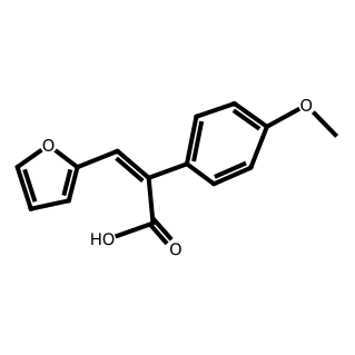 COc1ccc(C(=Cc2ccco2)C(=O)O)cc1